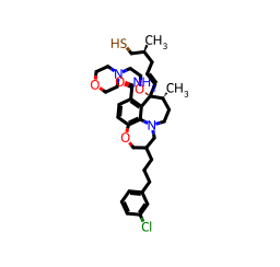 C[C@H](CS)C/C=C/[C@]1(OCCN2CCOCC2)c2c(C(N)=O)ccc3c2N(CC[C@H]1C)CC(CCCc1cccc(Cl)c1)CO3